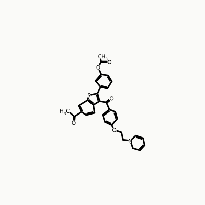 CC(=O)Oc1cccc(-c2sc3cc(C(C)=O)ccc3c2C(=O)c2ccc(OCCN3C=CC=CC3)cc2)c1